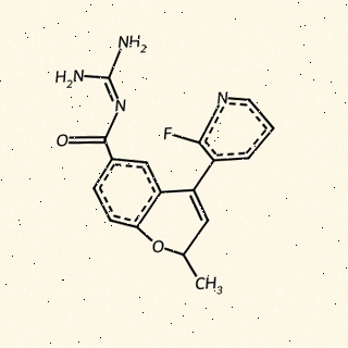 CC1C=C(c2cccnc2F)c2cc(C(=O)N=C(N)N)ccc2O1